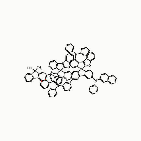 CC1(C)c2ccccc2-c2ccc(N(c3ccccc3-c3ccccc3)c3cccc4c3C3(c5ccccc5-c5c(N(c6ccccc6)c6cccc(-c7ccc8c(c7)-c7cc(N(c9ccccc9)c9ccc%10ccccc%10c9)ccc7C87c8cccc(N(c9ccccc9)c9ccccc9)c8-c8c7oc7ccccc87)c6)cccc53)c3oc5ccccc5c3-4)cc21